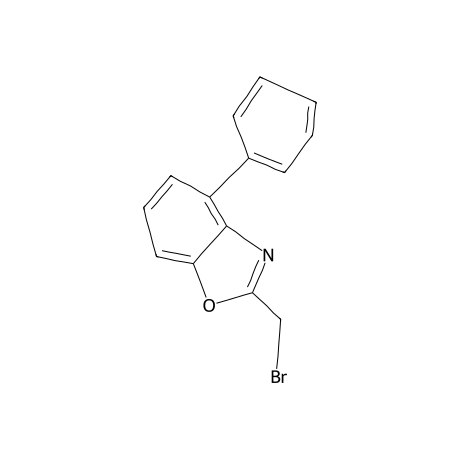 BrCc1nc2c(-c3ccccc3)cccc2o1